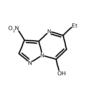 CCc1cc(O)n2ncc([N+](=O)[O-])c2n1